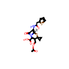 CC(=O)OCC1=C(C(=O)O)N2C(=O)[C@@H](NC(=O)Cc3cccs3)[C@H]2SC12CC2